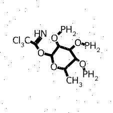 CC1OC(OC(=N)C(Cl)(Cl)Cl)C(OP)C(OP)C1OP